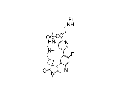 CC(C)NCCOc1ncc(-c2cc3c4c(cnc3cc2F)N(C)C(=O)C42CC(CN(C)C)C2)cc1NS(C)(=O)=O